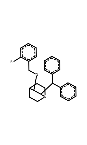 Brc1ccccc1COC1C2CCN(CC2)C1C(c1ccccc1)c1ccccc1